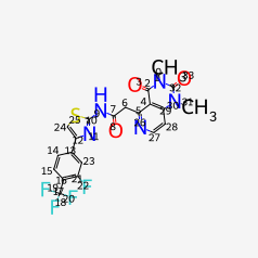 Cn1c(=O)c2c(CC(=O)Nc3nc(-c4ccc(C(F)(F)F)c(F)c4)cs3)nccc2n(C)c1=O